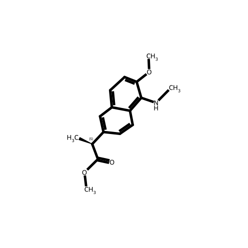 CNc1c(OC)ccc2cc([C@H](C)C(=O)OC)ccc12